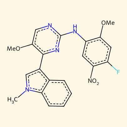 COc1cc(F)c([N+](=O)[O-])cc1Nc1ncc(OC)c(-c2cn(C)c3ccccc23)n1